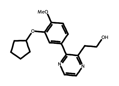 COc1ccc(-c2nccnc2CCO)cc1OC1CCCC1